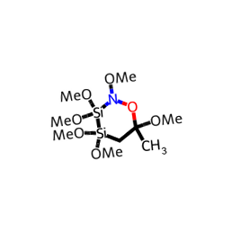 CON1OC(C)(OC)C[Si](OC)(OC)[Si]1(OC)OC